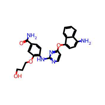 NC(=O)c1ccc(Nc2nccc(Oc3ccc(N)c4ccccc34)n2)c(OCCCO)c1